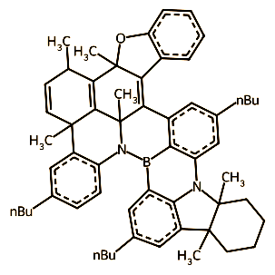 CCCCc1cc2c3c(c1)N1c4c(cc(CCCC)cc4C4(C)CCCCC14C)B3N1c3ccc(CCCC)cc3C3(C)C=CC(C)C4=C3C1(C)C2=C1c2ccccc2OC14C